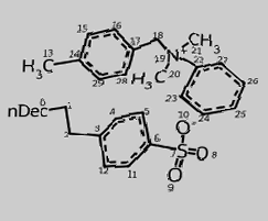 CCCCCCCCCCCCc1ccc(S(=O)(=O)[O-])cc1.Cc1ccc(C[N+](C)(C)c2ccccc2)cc1